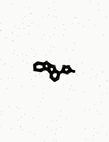 Cc1noc(-c2cccc3c2nc2sc4ccccc4n23)n1